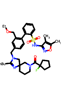 CCCCC1=NC2(CCCN(C(=O)C3(F)CCCC3)C2)CN1Cc1ccc(-c2ccccc2S(=O)(=O)Nc2noc(C)c2C)c(COCC)c1